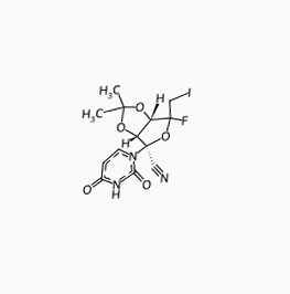 CC1(C)O[C@@H]2[C@H](O1)C(F)(CI)O[C@@]2(C#N)n1ccc(=O)[nH]c1=O